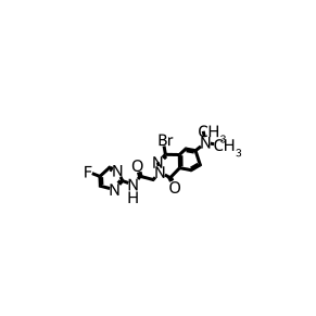 CN(C)c1ccc2c(=O)n(CC(=O)Nc3ncc(F)cn3)nc(Br)c2c1